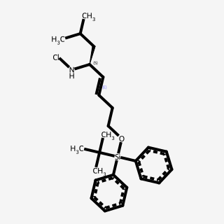 CC(C)C[C@@H](/C=C/CCO[Si](c1ccccc1)(c1ccccc1)C(C)(C)C)NCl